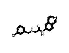 O=C(CNCc1cccc(Cl)c1)Nc1ccc2cnccc2c1